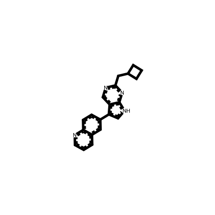 c1cnc2ccc(-c3c[nH]c4nc(CC5CCC5)ncc34)cc2c1